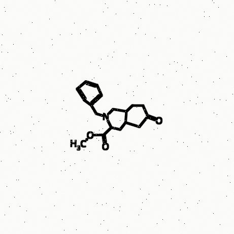 COC(=O)C1CC2CC(=O)CCC2CN1Cc1ccccc1